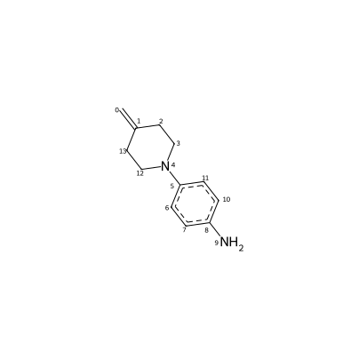 C=C1CCN(c2ccc(N)cc2)CC1